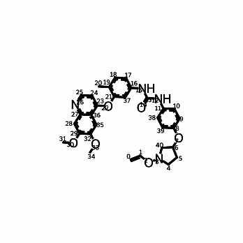 C=CON1CCC(Oc2ccc(NC(=O)Nc3ccc(C)c(Oc4ccnc5cc(OC)c(OC)cc45)c3)cc2)C1